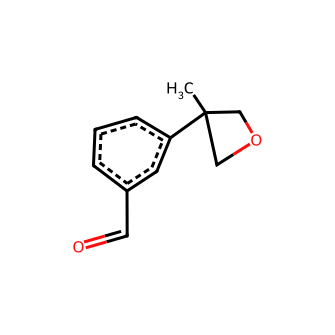 CC1(c2cccc(C=O)c2)COC1